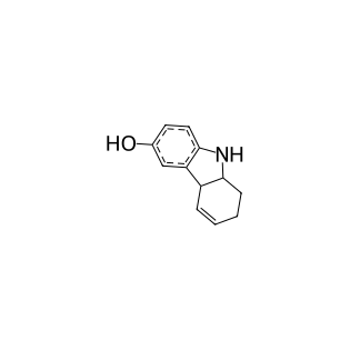 Oc1ccc2c(c1)C1C=CCCC1N2